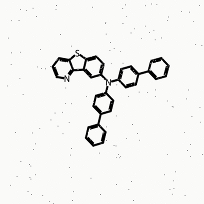 c1ccc(-c2ccc(N(c3ccc(-c4ccccc4)cc3)c3ccc4sc5cccnc5c4c3)cc2)cc1